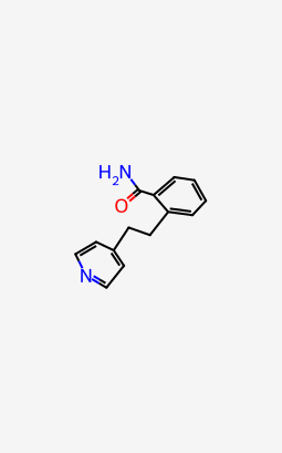 NC(=O)c1ccccc1CCc1ccncc1